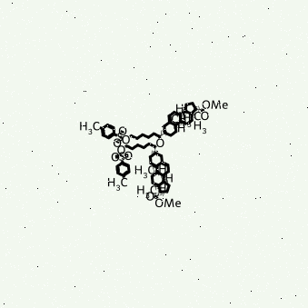 COC(=O)[C@H]1CC[C@H]2[C@@H]3CC=C4C[C@@H](C(CCCCCOS(=O)(=O)c5ccc(C)cc5)OC(CCCCCOS(=O)(=O)c5ccc(C)cc5)[C@H]5CC[C@@]6(C)C(=CC[C@H]7[C@@H]8CC[C@H](C(=O)OC)[C@@]8(C)CC[C@@H]76)C5)CC[C@]4(C)[C@H]3CC[C@]12C